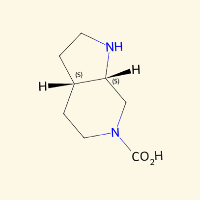 O=C(O)N1CC[C@@H]2CCN[C@@H]2C1